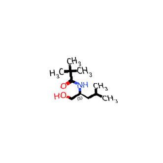 CC(C)C[C@@H](CO)NC(=O)C(C)(C)C